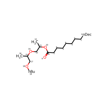 CCCCCCCCCCCCCCCCCC(=O)OC(C)COC(C)COCCCC